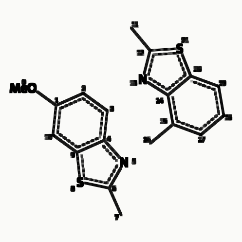 COc1ccc2nc(C)sc2c1.Cc1nc2c(C)cccc2s1